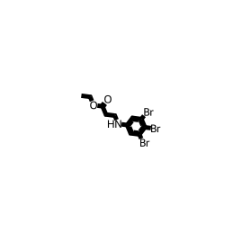 CCOC(=O)CCNc1cc(Br)c(Br)c(Br)c1